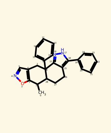 CC1c2oncc2CC2(c3ccccc3)c3n[nH]c(-c4ccccc4)c3CCC12